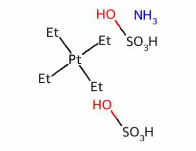 C[CH2][Pt]([CH2]C)([CH2]C)[CH2]C.N.O=S(=O)(O)O.O=S(=O)(O)O